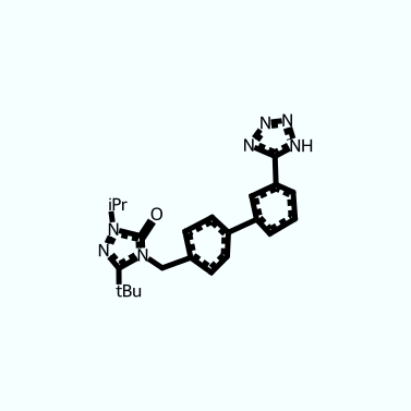 CC(C)n1nc(C(C)(C)C)n(Cc2ccc(-c3cccc(-c4nnn[nH]4)c3)cc2)c1=O